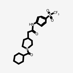 O=C(CC1CCN(C(=O)C2CCCCC2)CC1)Nc1ccc(S(=O)(=O)C(F)(F)F)cc1